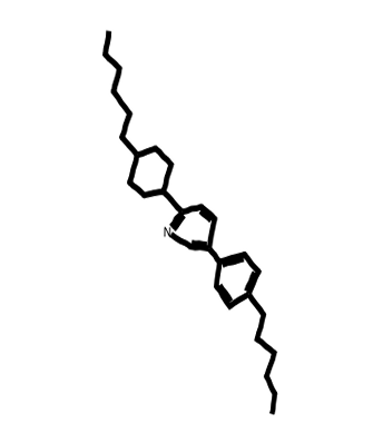 CCCCCCc1ccc(-c2ccc(C3CCC(CCCCCC)CC3)nc2)cc1